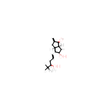 C=C1C[C@H]2[C@H](/C=C/CC(O)C(C)(C)CCC)[C@H](O)C[C@@H]2C1=O